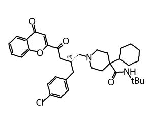 CC(C)(C)NC(=O)C1(C2CCCCC2)CCN(C[C@@H](CC(=O)c2cc(=O)c3ccccc3o2)Cc2ccc(Cl)cc2)CC1